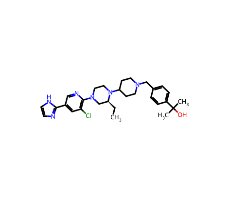 CC[C@H]1CN(c2ncc(-c3ncc[nH]3)cc2Cl)CCN1C1CCN(Cc2ccc(C(C)(C)O)cc2)CC1